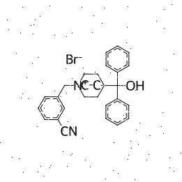 N#Cc1cccc(C[N+]23CCC(C(O)(c4ccccc4)c4ccccc4)(CC2)CC3)c1.[Br-]